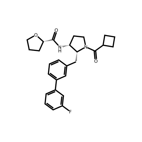 O=C(N[C@@H]1CCN(C(=O)C2CCC2)[C@@H]1Cc1cccc(-c2cccc(F)c2)c1)[C@@H]1CCCO1